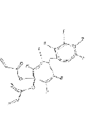 C=CC(=O)OC1(OC(=O)C=C)C(F)=C(F)C(c2cc(F)c(F)c(F)c2F)C(F)=C1F